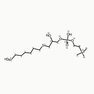 CCCCCCCCCCCCCCCCSCC(O)COP(=O)(O)OCC[N+](C)(C)C